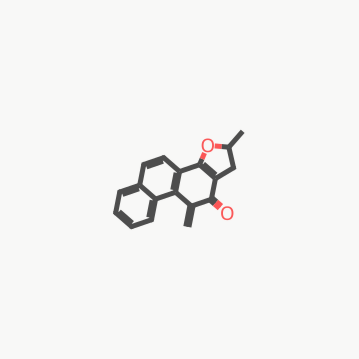 C=C1C(=O)C2=C(OC(C)C2)c2ccc3ccccc3c21